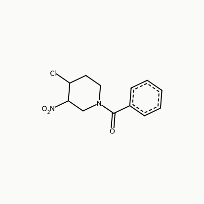 O=C(c1ccccc1)N1CCC(Cl)C([N+](=O)[O-])C1